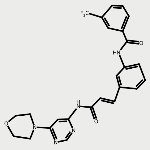 O=C(/C=C/c1cccc(NC(=O)c2cccc(C(F)(F)F)c2)c1)Nc1cc(N2CCOCC2)ncn1